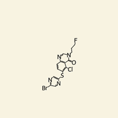 O=c1c2c(Cl)c(Sc3cnc(Br)cn3)ccc2ncn1CCCF